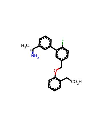 C[C@@H](N)c1cccc(-c2cc(COc3ccccc3CC(=O)O)ccc2F)c1